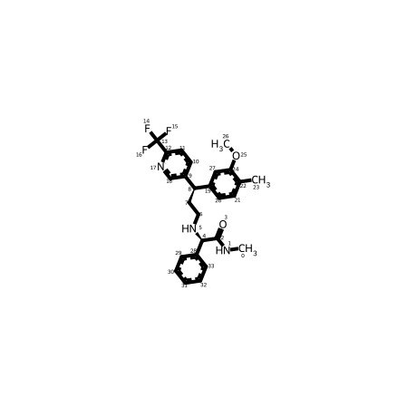 CNC(=O)[C@H](NCC[C@@H](c1ccc(C(F)(F)F)nc1)c1ccc(C)c(OC)c1)c1ccccc1